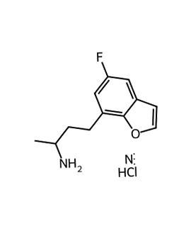 CC(N)CCc1cc(F)cc2ccoc12.Cl.[N]